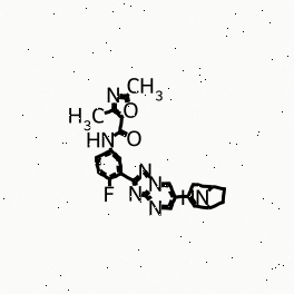 Cc1nc(C)c(C(=O)Nc2ccc(F)c(-c3nc4ncc(C5=CC6CCC(C5)N6)cn4n3)c2)o1